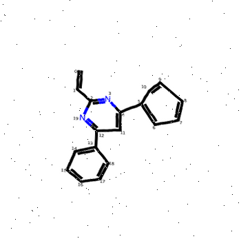 C=Cc1nc(-c2ccccc2)cc(-c2ccccc2)n1